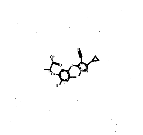 Cc1cc(Br)c(O[C@@H](C)C(=O)O)cc1Oc1c(C#N)c(C2CC2)nn1C